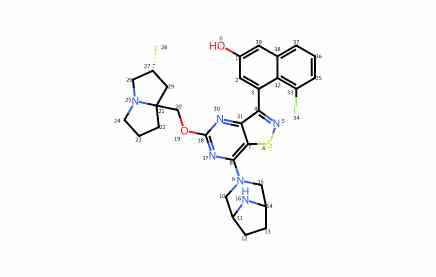 Oc1cc(-c2nsc3c(N4CC5CCC(C4)N5)nc(OCC45CCCN4C[C@H](F)C5)nc23)c2c(F)cccc2c1